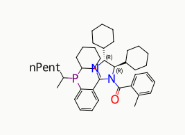 CCCCCC(C)P(c1ccccc1C1=N[C@H](C2CCCCC2)[C@@H](C2CCCCC2)N1C(=O)c1ccccc1C)C1CCCCC1